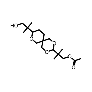 CC(=O)OCC(C)(C)C1OCC2(CCC(C(C)(C)CO)OC2)CO1